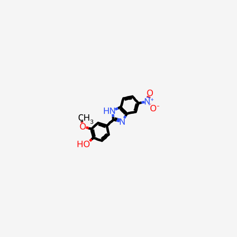 COc1cc(-c2nc3cc([N+](=O)[O-])ccc3[nH]2)ccc1O